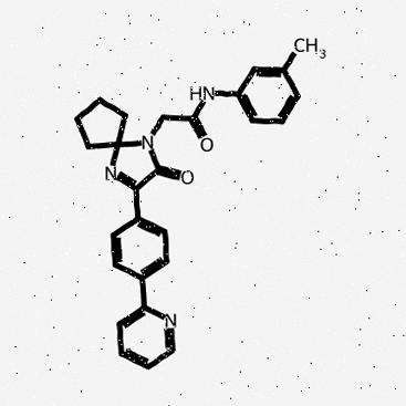 Cc1cccc(NC(=O)CN2C(=O)C(c3ccc(-c4ccccn4)cc3)=NC23CCCC3)c1